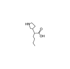 CCCCC(C(=O)O)C1CCNC1